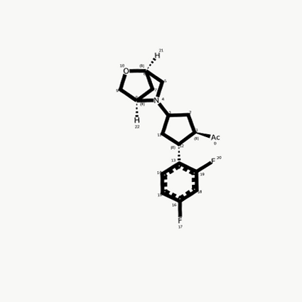 CC(=O)[C@@H]1CC(N2C[C@H]3C[C@@H]2CO3)C[C@H]1c1ccc(F)cc1F